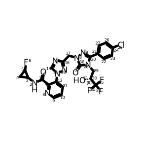 O=C(NC1CC1F)c1ncccc1-n1cnc(Cn2nc(-c3ccc(Cl)cc3)n(C[C@@H](O)C(F)(F)F)c2=O)n1